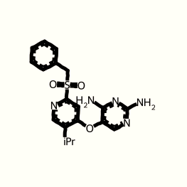 CC(C)c1cnc(S(=O)(=O)Cc2ccccc2)cc1Oc1cnc(N)nc1N